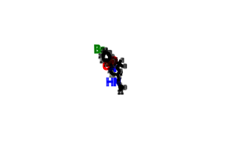 CC(C)(C)C1C[C](CNC2CC2)CCN1S(=O)(=O)c1ccc(Br)cc1